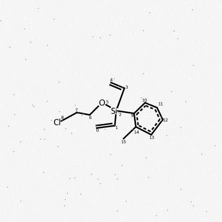 C=C[Si](C=C)(OCCCl)c1ccccc1C